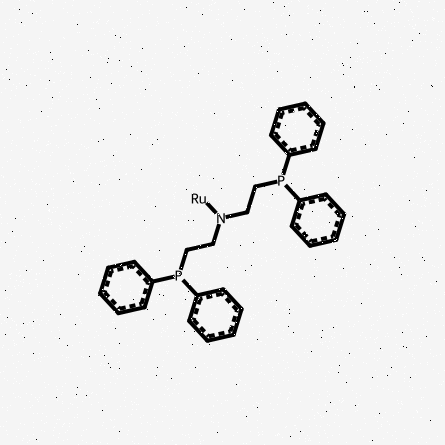 [Ru][N](CCP(c1ccccc1)c1ccccc1)CCP(c1ccccc1)c1ccccc1